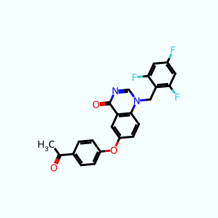 CC(=O)c1ccc(Oc2ccc3c(c2)c(=O)ncn3Cc2c(F)cc(F)cc2F)cc1